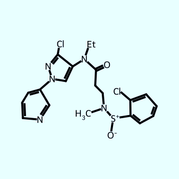 CCN(C(=O)CCN(C)[S+]([O-])c1ccccc1Cl)c1cn(-c2cccnc2)nc1Cl